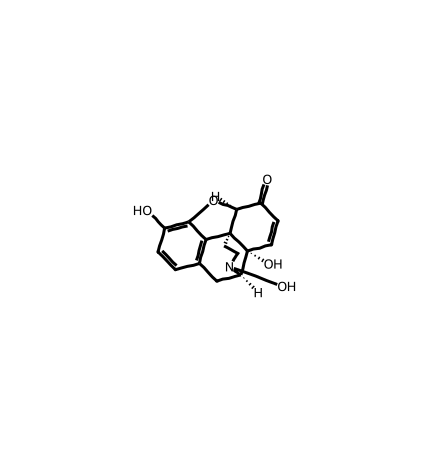 O=C1C=C[C@@]2(O)[C@H]3Cc4ccc(O)c5c4[C@@]2(CCN3O)[C@H]1O5